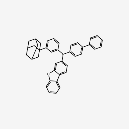 c1ccc(-c2ccc(N(c3cccc(C45CC6CC(CC(C6)C4)C5)c3)c3ccc4c(c3)oc3ccccc34)cc2)cc1